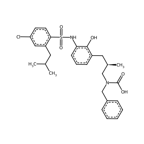 CC(C)Cc1cc(Cl)ccc1S(=O)(=O)Nc1cccc(C[C@@H](C)CN(Cc2ccccc2)C(=O)O)c1O